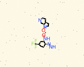 N=Nc1ccc(C(F)(F)F)cc1NOCOn1ccc2ccncc21